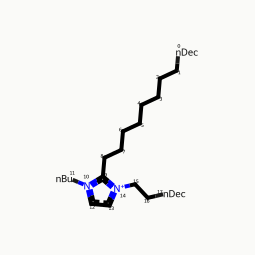 CCCCCCCCCCCCCCCCCCc1n(CCCC)cc[n+]1CCCCCCCCCCCC